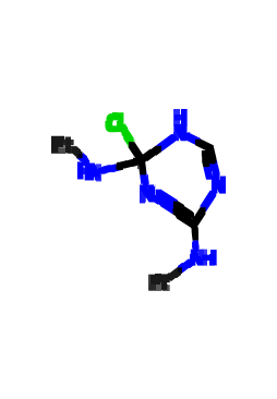 CCNC1=NC(Cl)(NCC)NC=N1